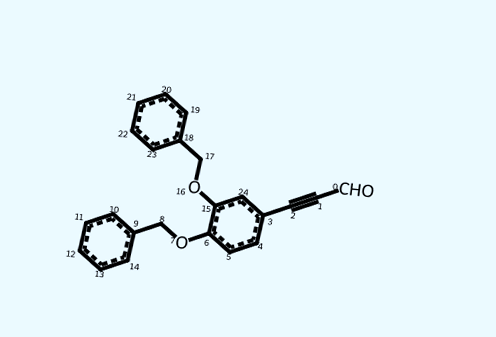 O=CC#Cc1ccc(OCc2ccccc2)c(OCc2ccccc2)c1